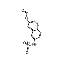 O=POc1cnc2ccc(N[SH](=O)=O)cc2c1